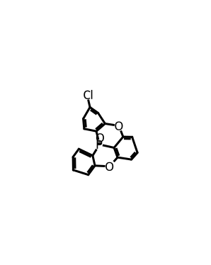 O=P12c3ccccc3Oc3cccc(c31)Oc1cc(Cl)ccc12